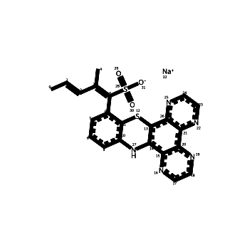 CC=CC(C)=C(c1cccc2c1Sc1c(c3nccnc3c3nccnc13)N2)S(=O)(=O)[O-].[Na+]